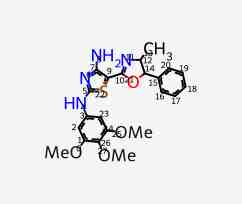 COc1cc(Nc2nc(N)c(C3=NC(C)C(c4ccccc4)O3)s2)cc(OC)c1OC